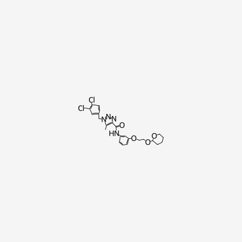 Cc1c(C(=O)Nc2cccc(OCCOC3CCCCO3)c2)nnn1Cc1ccc(Cl)c(Cl)c1